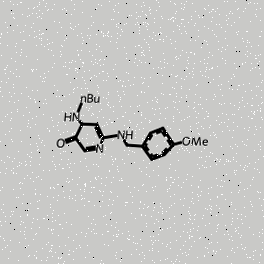 CCCCNC1C=C(NCc2ccc(OC)cc2)N=CC1=O